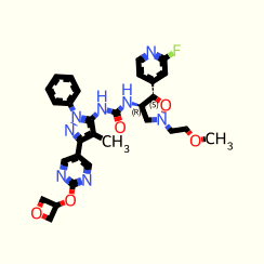 COCCN1C[C@@H](NC(=O)Nc2c(C)c(-c3cnc(OC4COC4)nc3)nn2-c2ccccc2)[C@H](c2ccnc(F)c2)O1